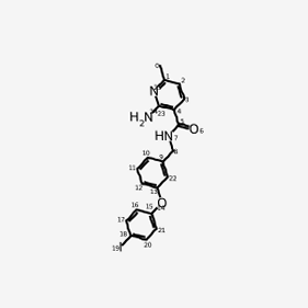 Cc1ccc(C(=O)NCc2cccc(Oc3ccc(I)cc3)c2)c(N)n1